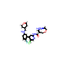 O=C(Nc1cc(-c2cc(NCC3CCOCC3)ccc2F)c(Cl)cn1)[C@H]1CNCCOC1